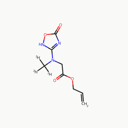 [2H]C([2H])([2H])N(CC(=O)OCC=C)c1nc(=O)o[nH]1